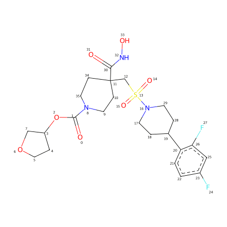 O=C(OC1CCOC1)N1CCC(CS(=O)(=O)N2CCC(c3ccc(F)cc3F)CC2)(C(=O)NO)CC1